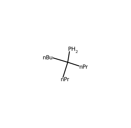 CCCCC(P)(CCC)CCC